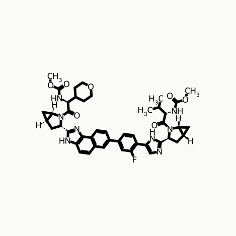 COC(=O)N[C@H](C(=O)N1[C@@H]2C[C@@H]2C[C@H]1c1ncc(-c2ccc(-c3ccc4c(ccc5[nH]c([C@@H]6C[C@H]7C[C@H]7N6C(=O)[C@@H](NC(=O)OC)C6CCOCC6)nc54)c3)cc2F)[nH]1)C(C)C